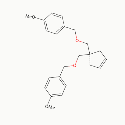 COc1ccc(COCC2(COCc3ccc(OC)cc3)CC=CC2)cc1